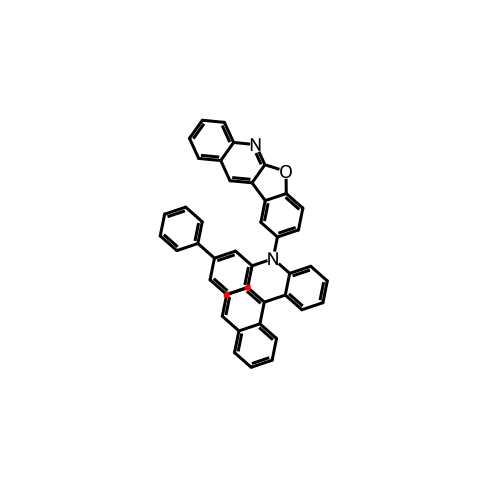 c1ccc(-c2cccc(N(c3ccc4oc5nc6ccccc6cc5c4c3)c3ccccc3-c3cccc4ccccc34)c2)cc1